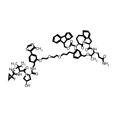 Cc1ncsc1-c1ccc(CNC(=O)[C@@H]2C[C@@H](O)CN2C(=O)[C@@H](NC(=O)C2(F)CC2)C(C)(C)C)c(OCCOCCOCCCc2ccc(CO[C@H](C)[C@H](CCC(N)=O)NC(=O)[C@@H]3Cc4cccc5c4N3C(=O)[C@@H](NC(=O)OCC3c4ccccc4-c4ccccc43)CC5)cc2)c1